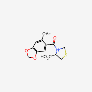 CC(=O)Oc1cc2c(cc1C(=O)N1CSCC1C(=O)O)OCO2